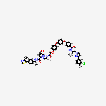 Cc1ncsc1-c1ccc([C@H](C)NC(=O)C2C[C@@H](O)CN2C[C@@H](NC(=O)COc2ccc(OC3CCC(Oc4ccc(C(=O)N[C@@H](C)Cn5ccc(-c6ccc(C#N)c(Cl)c6)n5)cc4)CC3)cc2)C(C)(C)C)cc1